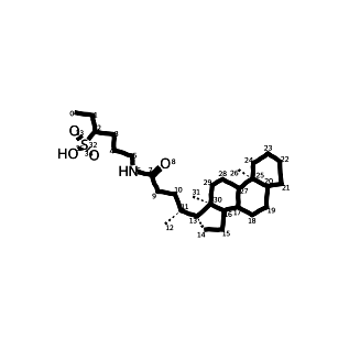 CCC(CCCNC(=O)CC[C@@H](C)[C@H]1CCC2C3CCC4CCCC[C@]4(C)C3CC[C@@]21C)S(=O)(=O)O